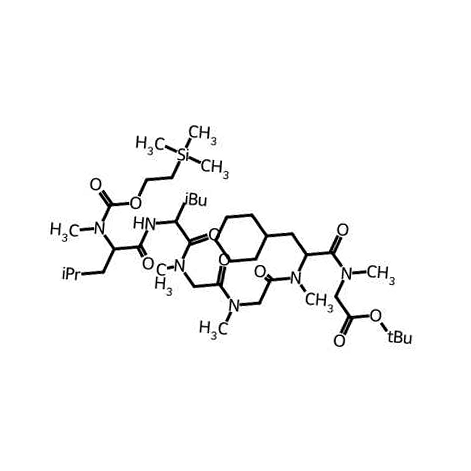 CCC(C)C(NC(=O)C(CC(C)C)N(C)C(=O)OCC[Si](C)(C)C)C(=O)N(C)CC(=O)N(C)CC(=O)N(C)C(CC1CCCCC1)C(=O)N(C)CC(=O)OC(C)(C)C